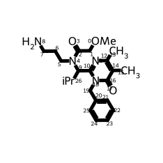 COCC(=O)N(CCCN)C(c1nc(C)c(C)c(=O)n1Cc1ccccc1)C(C)C